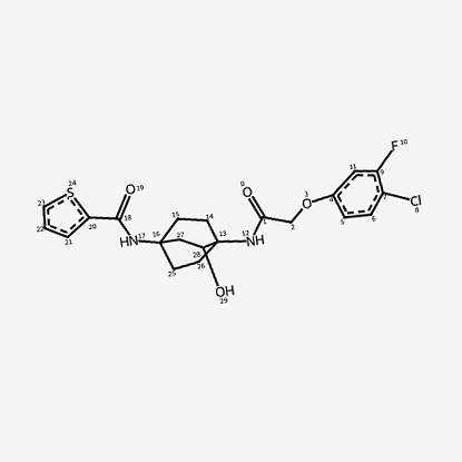 O=C(COc1ccc(Cl)c(F)c1)NC12CCC(NC(=O)c3cccs3)(CC1)CC2O